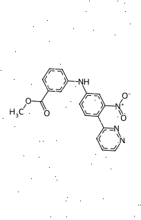 COC(=O)c1cccc(Nc2ccc(-c3cccnn3)c([N+](=O)[O-])c2)c1